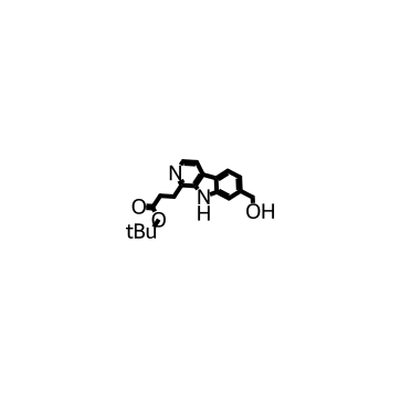 CC(C)(C)OC(=O)CCc1nccc2c1[nH]c1cc(CO)ccc12